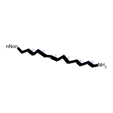 CCCCCCCCCC/C=C/C=C/C=C/C=C/C=C/C=C/N